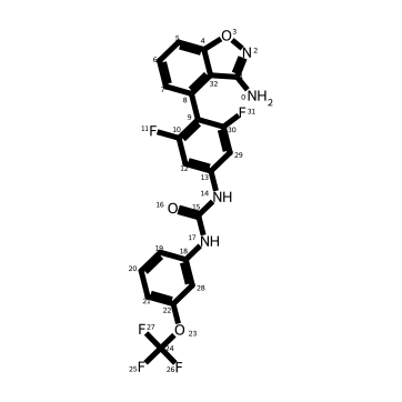 Nc1noc2cccc(-c3c(F)cc(NC(=O)Nc4cccc(OC(F)(F)F)c4)cc3F)c12